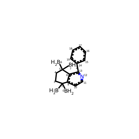 BC1(B)CCC(B)(B)c2c1ccnc2-c1ccccc1